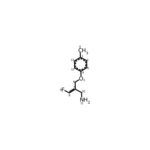 Cc1ccc(OC/C(=C\F)CN)cc1